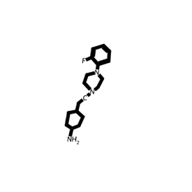 NC1CCC(CCN2CCN(c3ccccc3F)CC2)CC1